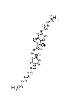 CCCCCCCCCOc1ccc(C2CCC(CC(=O)C3CCC(CCCCCCC)CC3=O)CC2)cc1